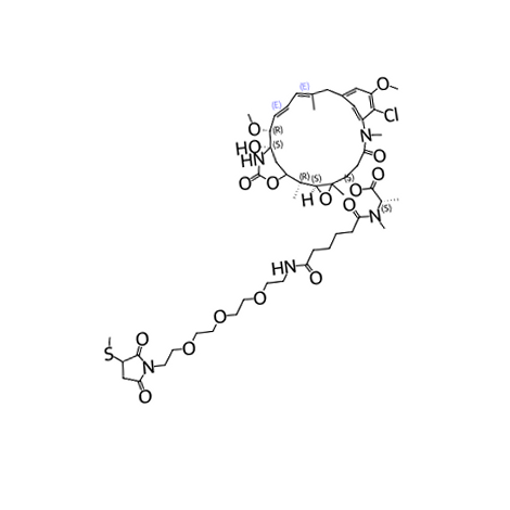 COc1cc2cc(c1Cl)N(C)C(=O)C[C@H](OC(=O)[C@H](C)N(C)C(=O)CCCCC(=O)NCCOCCOCCOCCN1C(=O)CC(SC)C1=O)C1(C)O[C@H]1[C@H](C)C1C[C@@](O)(NC(=O)O1)[C@H](OC)/C=C/C=C(\C)C2